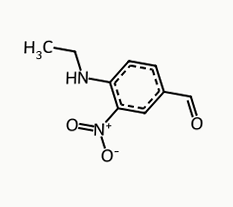 CCNc1ccc(C=O)cc1[N+](=O)[O-]